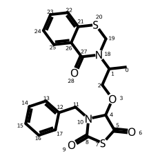 CC(COC1C(=O)SC(=O)N1Cc1ccccc1)N1CSc2ccccc2C1=O